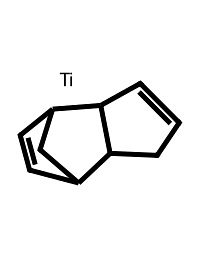 C1=CC2C3C=CC(C3)C2C1.[Ti]